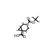 CC(C)(C)OC(=O)N1CCC2(C(=O)O)CC2C1